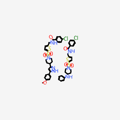 COc1ccc(-c2cc(C3CCN(S(=O)(=O)c4ccc(CNC(=O)c5ccc(Cl)cc5)s4)CC3)n[nH]2)cc1.O=C(NCc1ccc(S(=O)(=O)N2CCC(Nc3ccccc3)CC2)s1)c1ccc(Cl)cc1